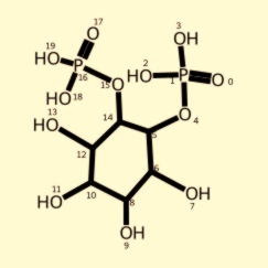 O=P(O)(O)OC1C(O)C(O)C(O)C(O)C1OP(=O)(O)O